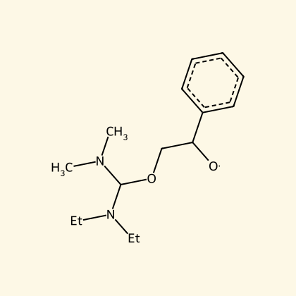 CCN(CC)C(OCC([O])c1ccccc1)N(C)C